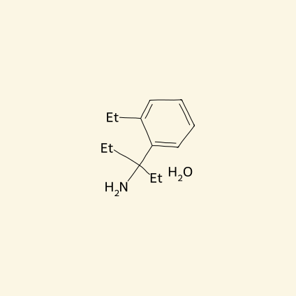 CCc1ccccc1C(N)(CC)CC.O